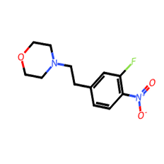 O=[N+]([O-])c1ccc(CCN2CCOCC2)cc1F